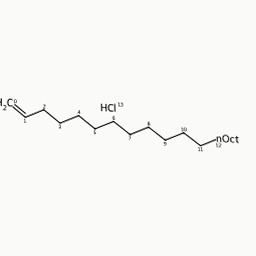 C=CCCCCCCCCCCCCCCCCCC.Cl